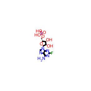 Nc1nc(F)nc2c1ncn2[C@H]1O[C@H](COP(=O)(O)O)[C@@H](O)[C@@H]1O